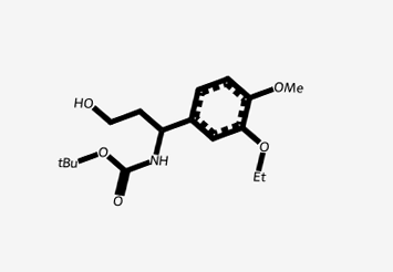 CCOc1cc(C(CCO)NC(=O)OC(C)(C)C)ccc1OC